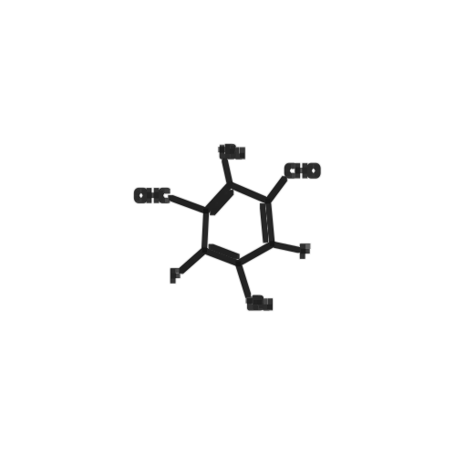 CC(C)(C)c1c(F)c(C=O)c(C(C)(C)C)c(C=O)c1F